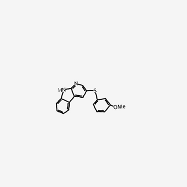 COc1cccc(Sc2cnc3[nH]c4ccccc4c3c2)c1